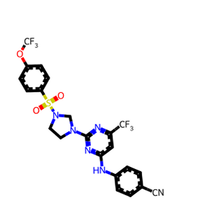 N#Cc1ccc(Nc2cc(C(F)(F)F)nc(N3CCN(S(=O)(=O)c4ccc(OC(F)(F)F)cc4)C3)n2)cc1